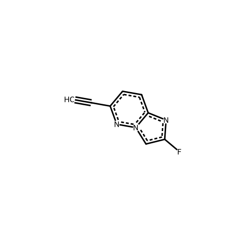 C#Cc1ccc2nc(F)cn2n1